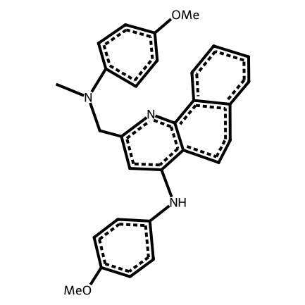 COc1ccc(Nc2cc(CN(C)c3ccc(OC)cc3)nc3c2ccc2ccccc23)cc1